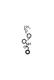 CCOC[C@@H]1CCCN(C[C@H]2CCCC[C@@H]2NC(=O)Cc2ccccc2)C1